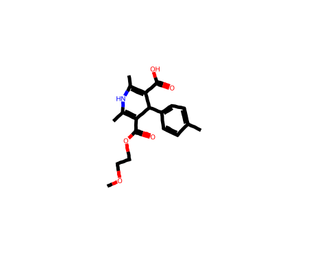 COCCOC(=O)C1=C(C)NC(C)=C(C(=O)O)C1c1ccc(C)cc1